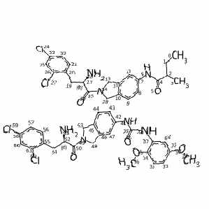 CCC(C)C(=O)Nc1ccc2c(c1)CN(C(=O)[C@H](N)Cc1ccc(Cl)cc1Cl)C2.COc1ccc(OC)c(NC(=O)Nc2ccc3c(c2)CN(C(=O)[C@H](N)Cc2ccc(Cl)cc2Cl)C3)c1